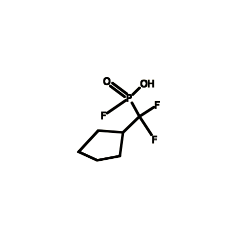 O=P(O)(F)C(F)(F)C1CCCC1